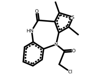 Cc1sc(C)c2c1C(=O)Nc1ccccc1N2C(=O)CCl